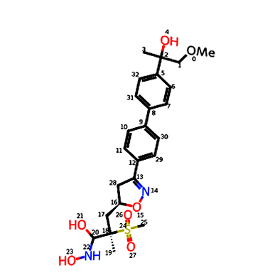 COCC(C)(O)c1ccc(-c2ccc(C3=NO[C@@H](C[C@](C)(C(O)NO)S(C)(=O)=O)C3)cc2)cc1